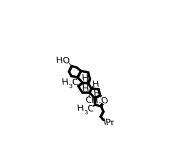 CC(C)CCC1OC2C[C@H]3[C@@H]4CCC5C[C@@H](O)CC[C@]5(C)[C@H]4CC[C@]3(C)[C@H]2[C@@H]1C